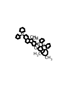 CC1CCC/C=C/C(C)(c2cc3c4c(c2)N(c2ccccc2)c2ccccc2B4c2cc4c(cc2O3)-c2ccc3cc(N(c5ccccc5)c5ccccc5)ccc3c2C4(C)C)C1